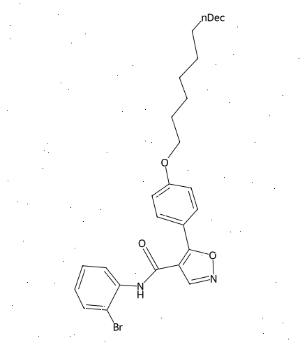 CCCCCCCCCCCCCCCCOc1ccc(-c2oncc2C(=O)Nc2ccccc2Br)cc1